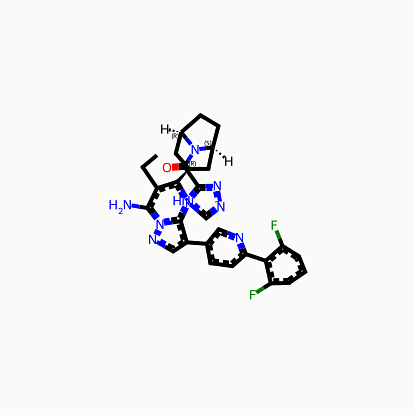 CCc1c([C@H]2C[C@H]3CC[C@@H](C2)N3C(=O)c2nnc[nH]2)nc2c(-c3ccc(-c4c(F)cccc4F)nc3)cnn2c1N